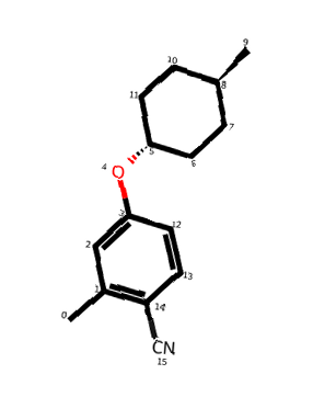 Cc1cc(O[C@H]2CC[C@H](C)CC2)ccc1C#N